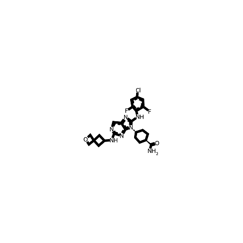 NC(=O)[C@H]1CC[C@H](n2c(Nc3c(F)cc(Cl)cc3F)nc3cnc(NC4CC5(COC5)C4)nc32)CC1